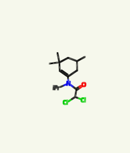 CC1CC(N(C(=O)C(Cl)Cl)C(C)C)=CC(C)(C)C1